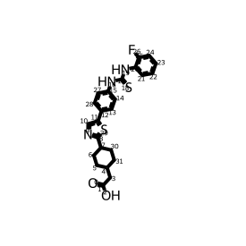 O=C(O)CC1CCC(c2ncc(-c3ccc(NC(=S)Nc4ccccc4F)cc3)s2)CC1